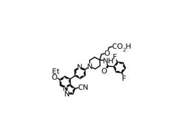 CCOc1cc(-c2ccc(N3CCC(COCC(=O)O)(NC(=O)c4cc(F)ccc4F)CC3)nc2)c2c(C#N)cnn2c1